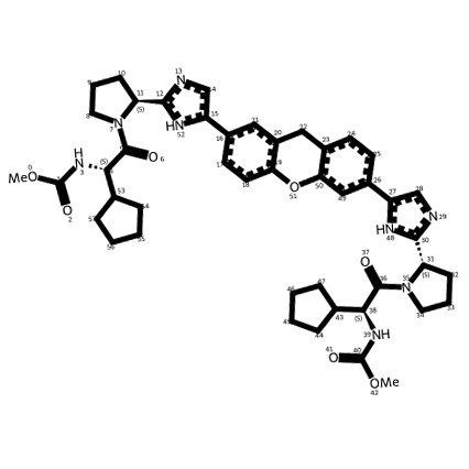 COC(=O)N[C@H](C(=O)N1CCC[C@H]1c1ncc(-c2ccc3c(c2)Cc2ccc(-c4cnc([C@@H]5CCCN5C(=O)[C@@H](NC(=O)OC)C5CCCC5)[nH]4)cc2O3)[nH]1)C1CCCC1